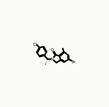 Cc1cc(Br)cc2c1C(=O)N([C@H](C)c1ccc(Cl)cc1)C2